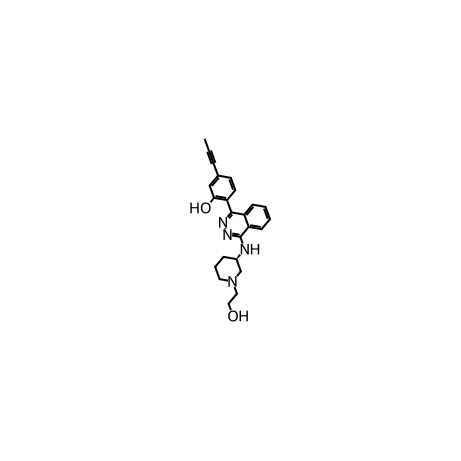 CC#Cc1ccc(-c2nnc(N[C@@H]3CCCN(CCO)C3)c3ccccc23)c(O)c1